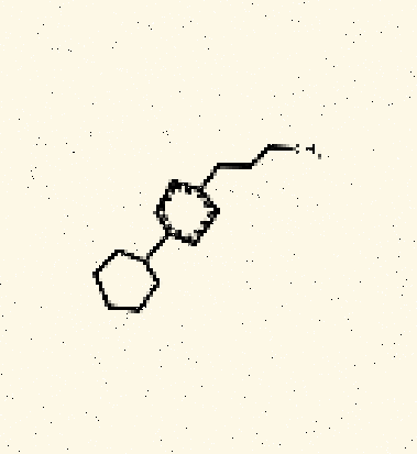 CCCCc1ccc([C]2CCCCC2)cc1